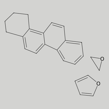 C1CO1.c1ccc2c(c1)ccc1c3c(ccc12)CCCC3.c1ccoc1